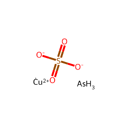 O=S(=O)([O-])[O-].[AsH3].[Cu+2]